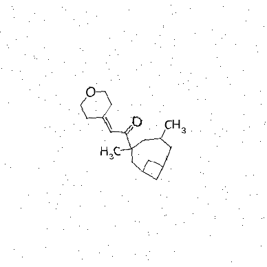 CC1CC2CC(C2)CC(C)(C(=O)C=C2CCOCC2)C1